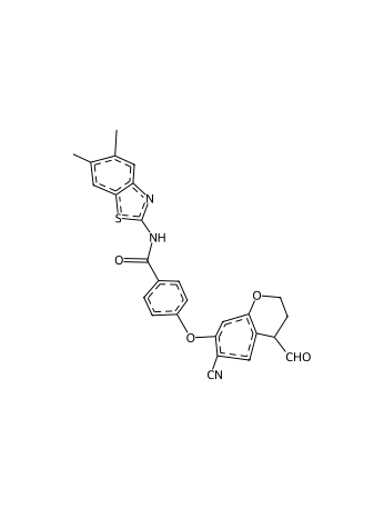 Cc1cc2nc(NC(=O)c3ccc(Oc4cc5c(cc4C#N)C(C=O)CCO5)cc3)sc2cc1C